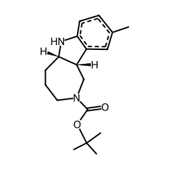 Cc1ccc2c(c1)[C@@H]1CN(C(=O)OC(C)(C)C)CCC[C@@H]1N2